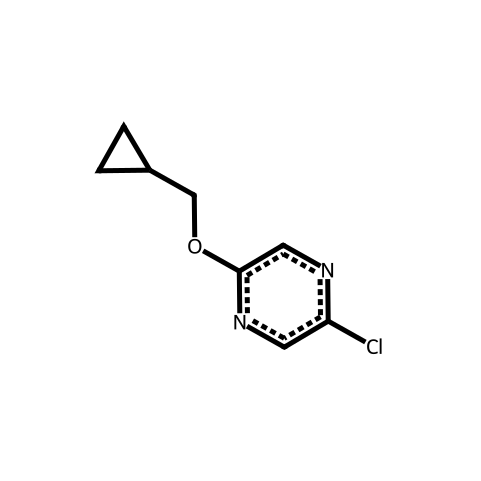 Clc1cnc(OCC2CC2)cn1